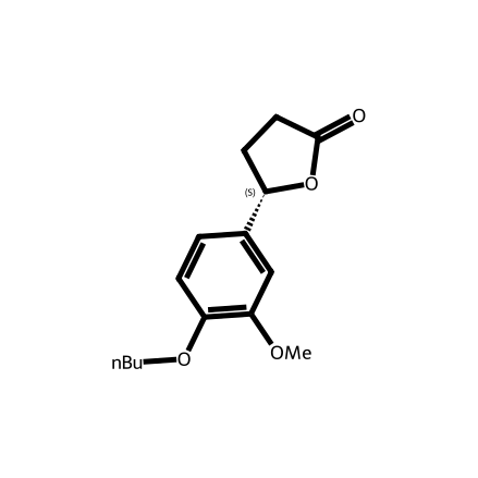 CCCCOc1ccc([C@@H]2CCC(=O)O2)cc1OC